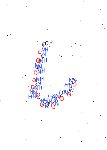 Cn1cc(NC(=O)c2nc(NC(=O)CCNC(=O)c3cc(NC(=O)c4nccn4C)cn3C)cn2C)cc1C(=O)NCCCC(=O)Nc1cn(C)c(C(=O)Nc2cc(C(=O)NCCC(=O)Nc3cn(C)c(C(=O)Nc4cc(C(=O)NCCC(=O)O)n(C)c4)n3)n(C)c2)n1